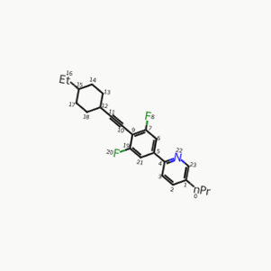 CCCc1ccc(-c2cc(F)c(C#CC3CCC(CC)CC3)c(F)c2)nc1